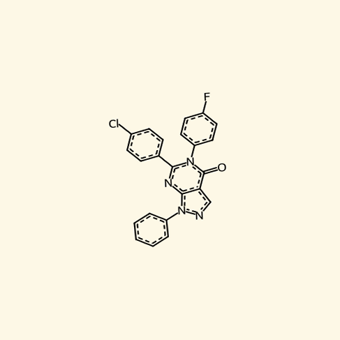 O=c1c2cnn(-c3ccccc3)c2nc(-c2ccc(Cl)cc2)n1-c1ccc(F)cc1